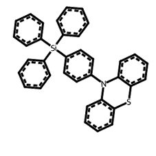 c1ccc([Si](c2ccccc2)(c2ccccc2)c2ccc(N3c4ccccc4Sc4ccccc43)cc2)cc1